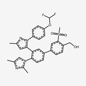 Cc1cn(-c2ccc(-c3ccc(CO)c(S(C)(=O)=O)c3)cc2-c2cc(C)nn2-c2ccc(OC(F)F)cc2)c(C)n1